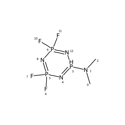 CN(C)[PH]1=NP(F)(F)=NP(F)(F)=N1